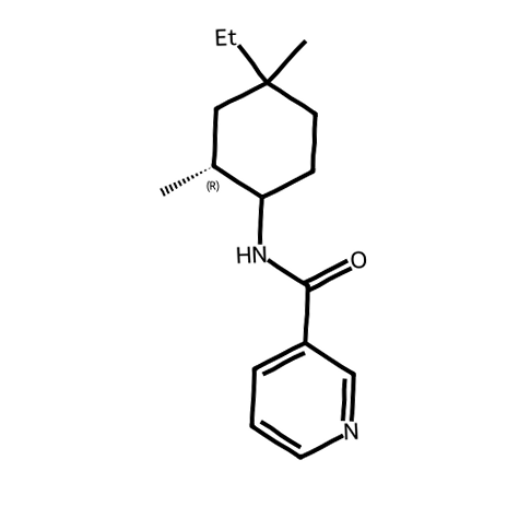 CCC1(C)CCC(NC(=O)c2cccnc2)[C@H](C)C1